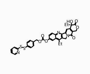 CCc1c2c(nc3ccc(OC(=O)OCc4ccc(SSc5cc#ccn5)cc4)cc13)-c1cc3c(c(=O)n1C2)COC(=O)[C@]3(O)CC